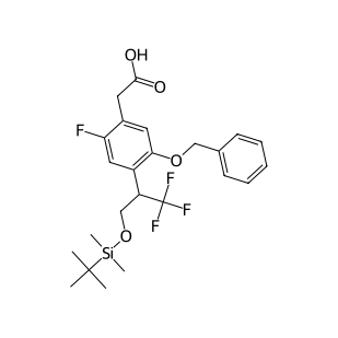 CC(C)(C)[Si](C)(C)OCC(c1cc(F)c(CC(=O)O)cc1OCc1ccccc1)C(F)(F)F